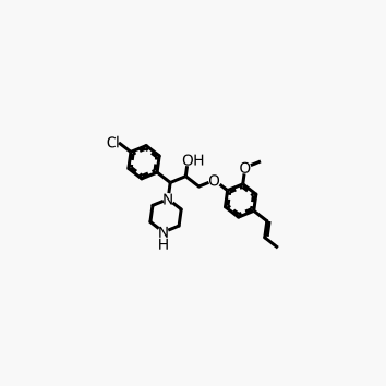 CC=Cc1ccc(OCC(O)C(c2ccc(Cl)cc2)N2CCNCC2)c(OC)c1